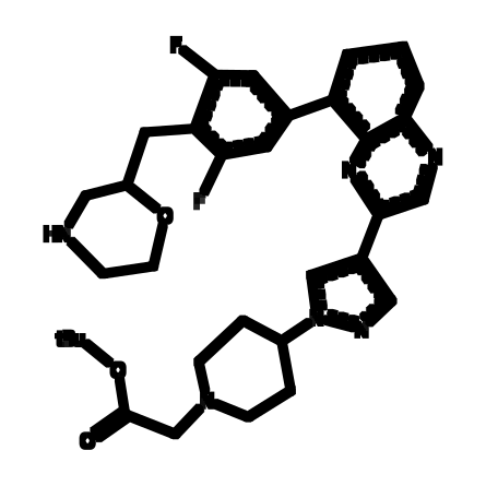 CC(C)(C)OC(=O)CN1CCC(n2cc(-c3cnc4cccc(-c5cc(F)c(CC6CNCCO6)c(F)c5)c4n3)cn2)CC1